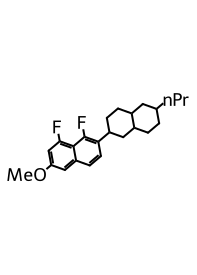 CCCC1CCC2CC(c3ccc4cc(OC)cc(F)c4c3F)CCC2C1